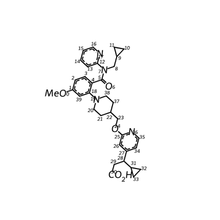 COc1ccc(C(=O)N(CC2CC2)c2ccccn2)c(N2CCC(COc3cc(C(CC(=O)O)C4CC4)ccn3)CC2)c1